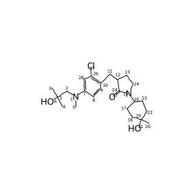 CN(CC(C)(C)O)c1ccc(CC2CCN(C3CCC(C)(O)CC3)C2=O)c(Cl)c1